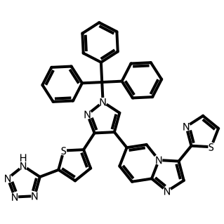 c1ccc(C(c2ccccc2)(c2ccccc2)n2cc(-c3ccc4ncc(-c5nccs5)n4c3)c(-c3ccc(-c4nnn[nH]4)s3)n2)cc1